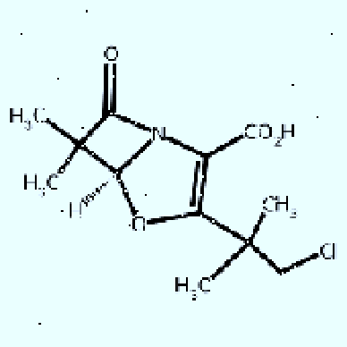 CC(C)(CCl)C1=C(C(=O)O)N2C(=O)C(C)(C)[C@@H]2O1